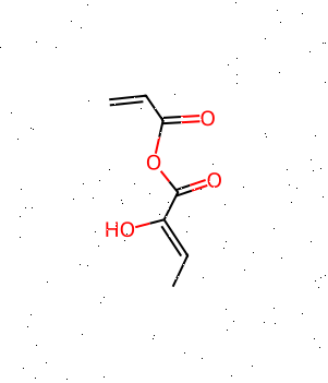 C=CC(=O)OC(=O)C(O)=CC